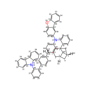 C[C@H]1C[C@@H]2C[C@H]3CC(c4ccccc4N(c4ccc(-c5ccc(-c6ccccc6-n6c7ccccc7c7ccccc76)cc5)cc4)c4ccc5oc6ccccc6c5c4)(C1)C23